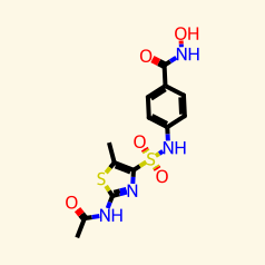 CC(=O)Nc1nc(S(=O)(=O)Nc2ccc(C(=O)NO)cc2)c(C)s1